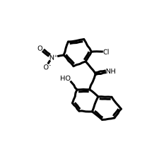 N=C(c1cc([N+](=O)[O-])ccc1Cl)c1c(O)ccc2ccccc12